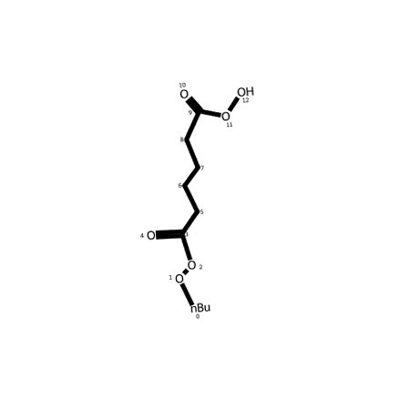 CCCCOOC(=O)CCCCC(=O)OO